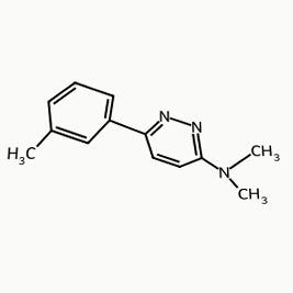 Cc1cccc(-c2ccc(N(C)C)nn2)c1